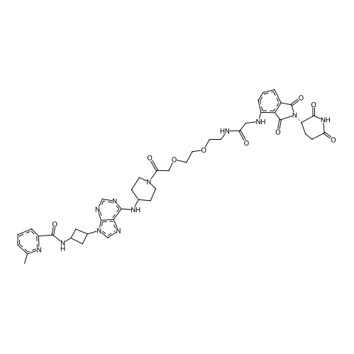 Cc1cccc(C(=O)NC2CC(n3cnc4c(NC5CCN(C(=O)COCCOCCNC(=O)CNc6cccc7c6C(=O)N([C@H]6CCC(=O)NC6=O)C7=O)CC5)ncnc43)C2)n1